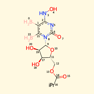 Bc1c(NO)nc(=O)n([C@@H]2O[C@H](COC(=O)C(C)C)[C@@H](O)[C@H]2O)c1B